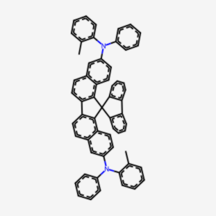 Cc1ccccc1N(c1ccccc1)c1ccc2c3c(ccc2c1)-c1ccc2cc(N(c4ccccc4)c4ccccc4C)ccc2c1C31c2ccccc2-c2ccccc21